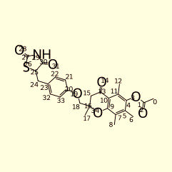 CC(=O)Oc1c(C)c(C)c2c(c1C)C(=O)CC(C)(COc1ccc(CC3SC(=O)NC3=O)cc1)O2